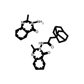 Cc1nc2ccccc2c(=O)n1N.Cc1nc2ccccc2c(=O)n1NC(=O)CC12CC3CC(CC(C3)C1)C2